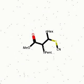 CCCCCCC(SC#N)C(CCCCC)C(=O)OC